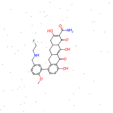 COc1ccc(CNCCF)cc1-c1ccc(O)c2c1CC1CC3CC(O)=C(C(N)=O)C(=O)C3C(O)=C1C2=O